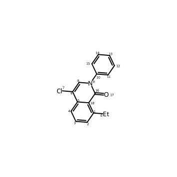 CCc1cccc2c(Cl)cn(-c3ccccc3)c(=O)c12